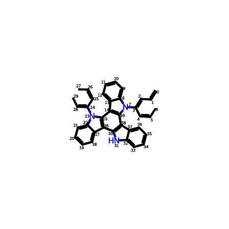 C=C/C=C(\C=C/C)n1c2ccccc2c2c3c(c4ccccc4n3C(/C=C\C)=C/C)c3[nH]c4ccccc4c3c21